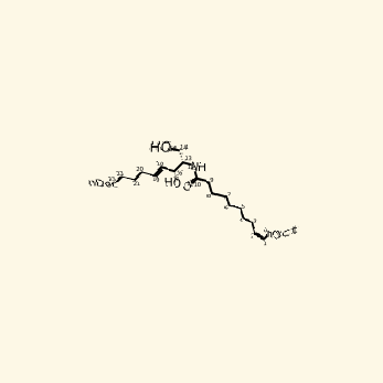 CCCCCCCC/C=C\CCCCCCCC(=O)N[C@@H](CO)[C@H](O)/C=C/CCCCCCCCCCCCC